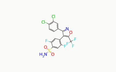 NS(=O)(=O)c1cc(F)c(-c2c(-c3ccc(Cl)c(Cl)c3)noc2C(F)(F)F)cc1F